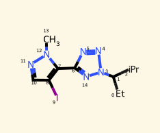 [CH2]CC(C(C)C)n1nnc(-c2c(I)cnn2C)n1